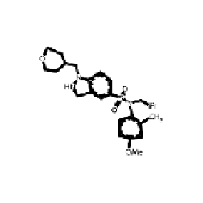 COc1ccc(N(CC(C)C)S(=O)(=O)c2ccc3c(c2)CNN3CC2CCOCC2)c(C)c1